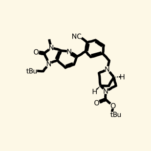 Cn1c(=O)n(CC(C)(C)C)c2ccc(-c3cc(CN4C[C@H]5C[C@@H]4CN5C(=O)OC(C)(C)C)ccc3C#N)nc21